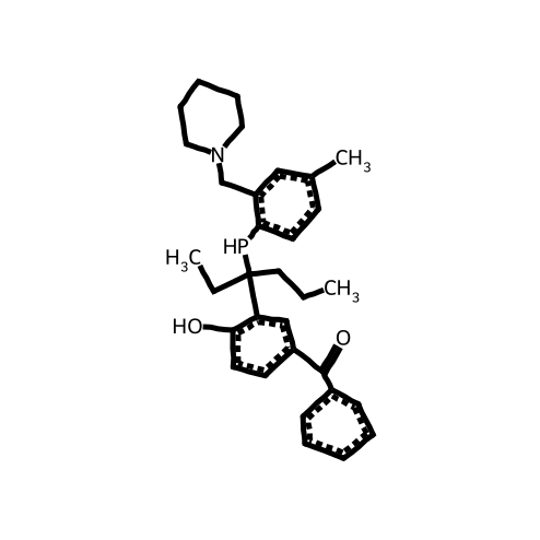 CCCC(CC)(Pc1ccc(C)cc1CN1CCCCC1)c1cc(C(=O)c2ccccc2)ccc1O